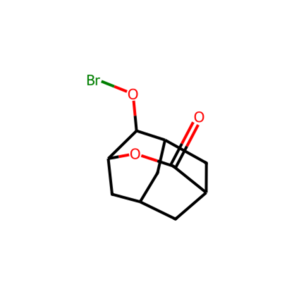 O=C1OC2CC3CC1CC(C3)C2OBr